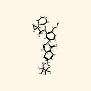 COCc1ccc(-n2cnc3cc(B4OC(C)(C)C(C)(C)O4)ccc3c2=O)cc1NC(=O)C1(N2CCOCC2)CC1